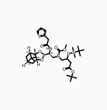 COC(=O)N(CC(CC(=O)OC(C)(C)C)O[Si](C)(C)C(C)(C)C)C[C@H](NC(=O)Cc1cccs1)B1O[C@@H]2C[C@@H]3C[C@@H](C3(C)C)[C@]2(C)O1